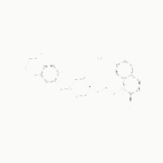 COc1ccc2ccc(=O)n(CCCC3(C)CCN(Cc4ccc5c(c4)OCCO5)CC3)c2c1